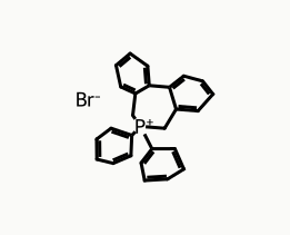 [Br-].c1ccc([P+]2(c3ccccc3)Cc3ccccc3-c3ccccc3C2)cc1